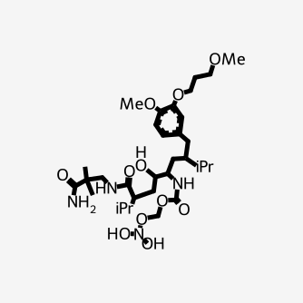 COCCCOc1cc(CC(CC(NC(=O)OCON(O)O)C(O)CC(C(=O)NCC(C)(C)C(N)=O)C(C)C)C(C)C)ccc1OC